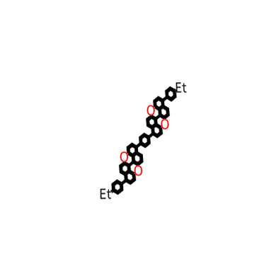 CCc1ccc(-c2ccc3oc4ccc5c(-c6ccc(-c7ccc8oc9ccc%10c(-c%11ccc(CC)cc%11)ccc%11oc%12ccc7c8c%12-c9c%11%10)cc6)ccc6oc7ccc2c3c7-c4c65)cc1